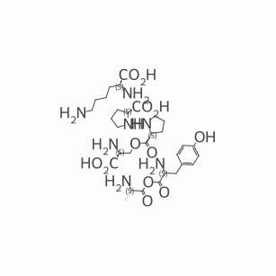 C[C@H](N)C(=O)OC(=O)[C@@H](N)Cc1ccc(O)cc1.NCCCC[C@H](N)C(=O)O.N[C@@H](COC(=O)[C@@H]1CCCN1)C(=O)O.O=C(O)[C@@H]1CCCN1